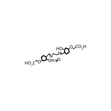 O=C(O)COc1ccc(C=NCCN=Cc2ccc(OCC(=O)O)cc2O)c(O)c1.[O]=[V]